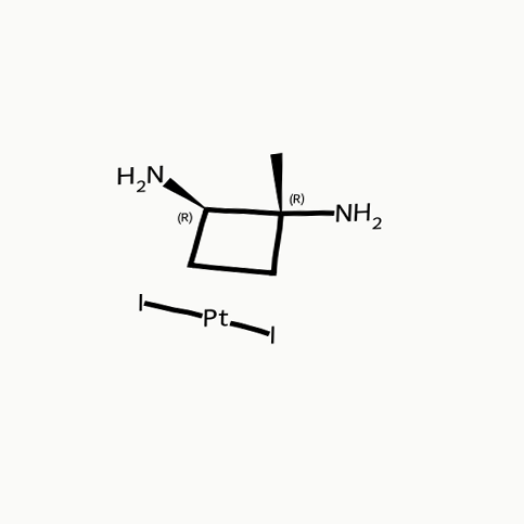 C[C@@]1(N)CC[C@H]1N.[I][Pt][I]